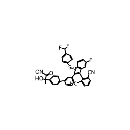 CC(O)(C(=O)N=O)c1ccc(-c2cccc(-c3c(-c4c(C#N)cccc4C#N)c4cc(F)ccc4n3Sc3ccc(C(F)F)cc3)c2)cc1